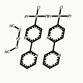 CC(C)[Si](Cl)(c1ccc(-c2ccccn2)nc1)C(C)C.CC(C)[Si](Cl)(c1ccc(-c2ccccn2)nc1)C(C)C.N#C[O][Fe][O]C#N